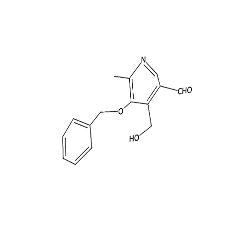 Cc1ncc(C=O)c(CO)c1OCc1ccccc1